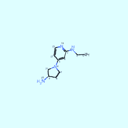 CC(C)CNc1cc(N2CC[C@@H](N)C2)ccn1